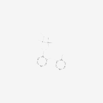 CCC1(C)OB(c2ccccc2Oc2ccccc2Br)OC1(C)C